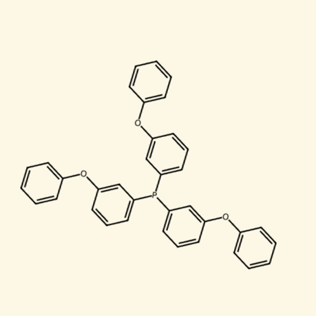 c1ccc(Oc2cccc(P(c3cccc(Oc4ccccc4)c3)c3cccc(Oc4ccccc4)c3)c2)cc1